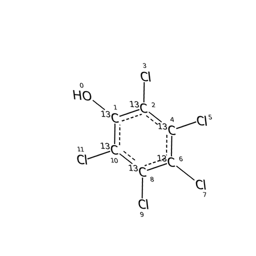 O[13c]1[13c](Cl)[13c](Cl)[13c](Cl)[13c](Cl)[13c]1Cl